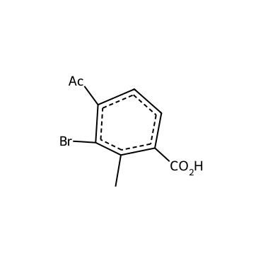 CC(=O)c1ccc(C(=O)O)c(C)c1Br